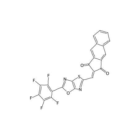 O=C1C(=Cc2nc3oc(-c4c(F)c(F)c(F)c(F)c4F)nc3s2)C(=O)c2cc3ccccc3cc21